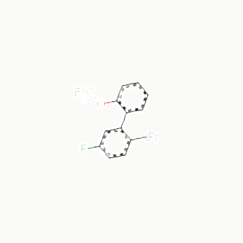 CC(C)c1ccc(F)cc1-c1ccccc1OC(F)(F)F